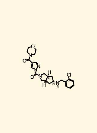 CN(Cc1ccccc1Cl)[C@@H]1C[C@@H]2CN(C(=O)n3cc(C(=O)N4CCOCC4)cn3)C[C@@H]2C1